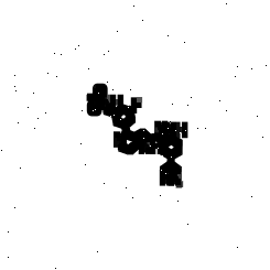 Cn1cc(-c2ccc3[nH]nc(-c4cc5c(-c6cc(F)cc(CNS(C)(=O)=O)c6)nccc5[nH]4)c3c2)cn1